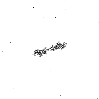 C=C(C)[C@H](NC(=O)OC)C(=O)N1CCC[C@H]1c1ncc(-c2ccc(C#Cc3ccc4nc([C@@H]5CCCN5C(=O)[C@@H](NC(=O)OC)C(C)C)[nH]c4c3)cc2F)[nH]1